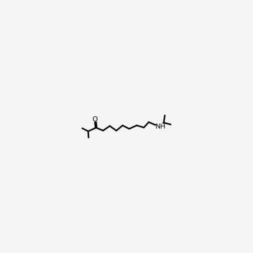 CC(C)NCCCCCCCCC(=O)C(C)C